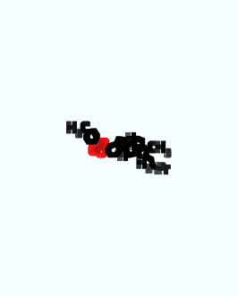 Cc1ccc(S(=O)(=O)O[C@H]2CCC3(C)C(=CCC4[C@@H]3CCC3(C)C([C@H](C)CCCC(C)C)CC[C@@H]43)C2)cc1